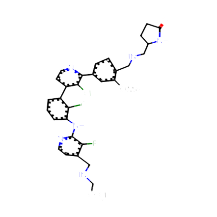 COc1cc(-c2nccc(-c3cccc(Nc4nccc(CNCC(=O)O)c4F)c3Cl)c2Cl)ccc1CNCC1CCC(=O)N1